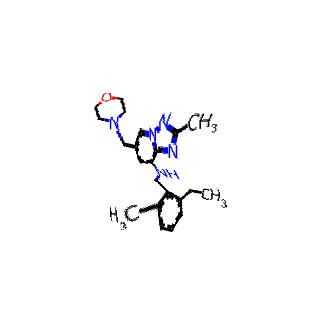 CCc1cccc(C)c1CNc1cc(CN2CCOCC2)cn2nc(C)nc12